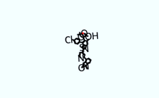 Cc1cc2nc(-c3ccnc(-c4cccc5c4CC(=O)N5C)c3)sc2c(-c2ccc(Cl)cc2)c1C(OC(C)(C)C)C(=O)O